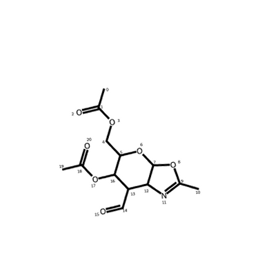 CC(=O)OCC1OC2OC(C)=NC2C(C=O)C1OC(C)=O